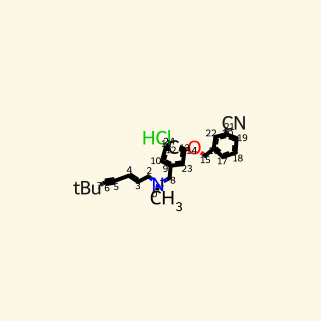 CN(C/C=C/C#CC(C)(C)C)Cc1cccc(OCc2cccc(C#N)c2)c1.Cl